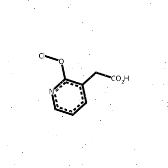 O=C(O)Cc1cccnc1OCl